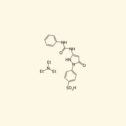 CCN(CC)CC.O=C(Nc1ccccc1)Nc1cc(=O)n(-c2ccc(S(=O)(=O)O)cc2)[nH]1